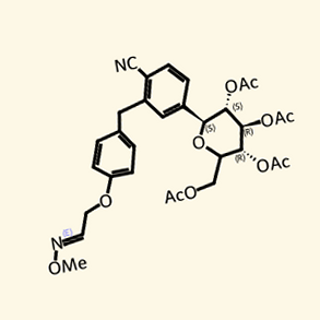 CO/N=C/COc1ccc(Cc2cc([C@@H]3OC(COC(C)=O)[C@@H](OC(C)=O)[C@H](OC(C)=O)[C@H]3OC(C)=O)ccc2C#N)cc1